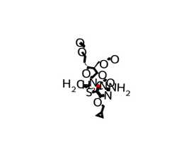 C=C1Sc2c(OCC3CC3)nc(N)nc2N1[C@@H]1O[C@H](CCOC=O)[C@@H](COC=O)[C@H]1OC(C)=O